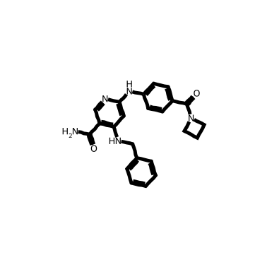 NC(=O)c1cnc(Nc2ccc(C(=O)N3CCC3)cc2)cc1NCc1ccccc1